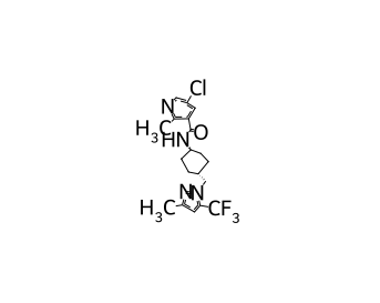 Cc1cc(C(F)(F)F)n(C[C@H]2CC[C@H](NC(=O)c3cc(Cl)cnc3C)CC2)n1